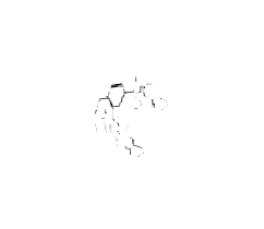 CC(=O)c1nc(-c2ccc3c(c2)N(C(=O)Nc2nc4ccccc4s2)CCC3)sc1-c1ccccc1